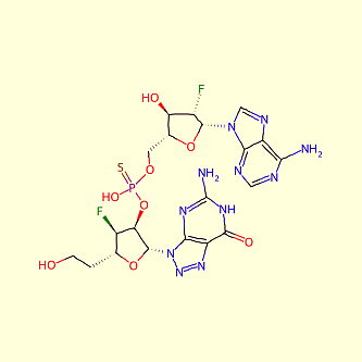 Nc1nc2c(nnn2[C@@H]2O[C@H](CCO)[C@@H](F)[C@H]2OP(O)(=S)OC[C@H]2O[C@@H](n3cnc4c(N)ncnc43)[C@@H](F)[C@@H]2O)c(=O)[nH]1